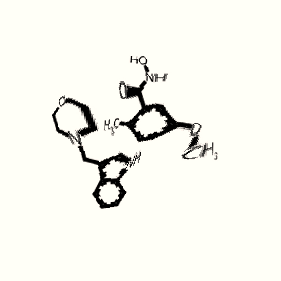 COc1ccc(C)c(C(=O)NO)c1.c1ccc2c(CN3CCOCC3)c[nH]c2c1